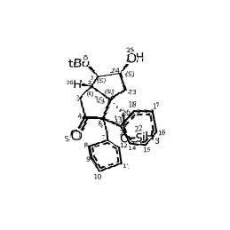 CC(C)(C)[C@@H]1[C@H]2CC(=O)C(c3ccccc3)(c3ccccc3)[C@]2(CO[SiH3])C[C@@H]1O